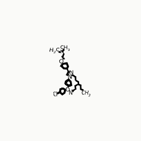 CCCCC(CCC#N)CCCc1nc(-c2ccc(OCCCN(CC)CC)cc2)cn1-c1ccc(Oc2ccc(Cl)cc2)cc1